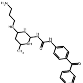 CC1CC(NCCCN)NC(NC(=O)Nc2ccc(C(=O)c3ccccc3)cc2)N1